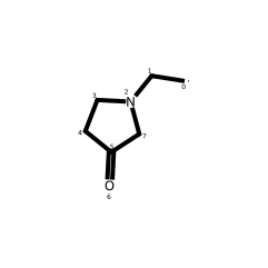 [CH2]CN1CCC(=O)C1